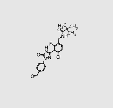 CC(C)(C)C(=O)NCc1ccc(Cl)c(-c2nn(-c3ccc(C=O)cc3)c(=O)[nH]2)c1F